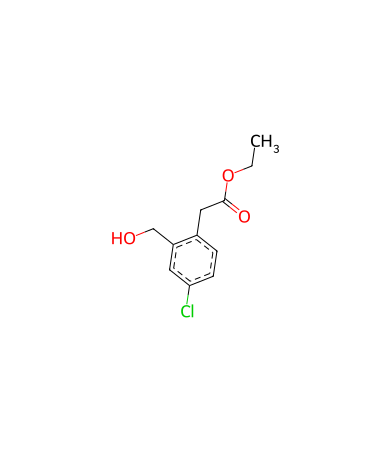 CCOC(=O)Cc1ccc(Cl)cc1CO